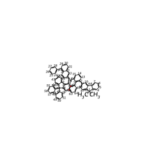 CC1(C)c2ccccc2-c2cc(-c3cccc(N(c4ccc5c(-c6ccccc6)cccc5c4)c4cccc5c4-c4ccccc4C5(c4ccccc4)c4ccccc4)c3-c3ccccc3)ccc21